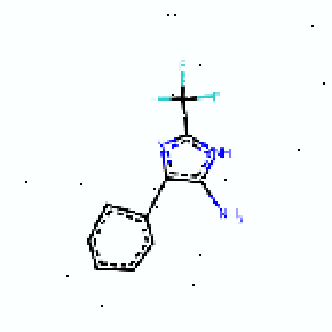 Nc1[nH]c(C(F)(F)F)nc1-c1ccccc1